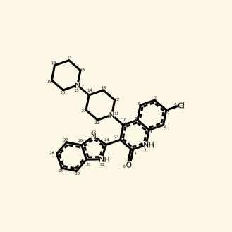 O=c1[nH]c2cc(Cl)ccc2c(N2CCC(N3CCCCC3)CC2)c1-c1nc2ccccc2[nH]1